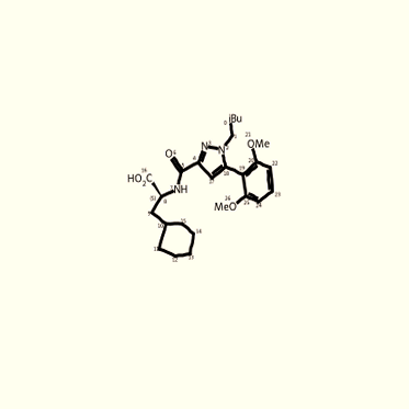 CCC(C)Cn1nc(C(=O)N[C@@H](CC2CCCCC2)C(=O)O)cc1-c1c(OC)cccc1OC